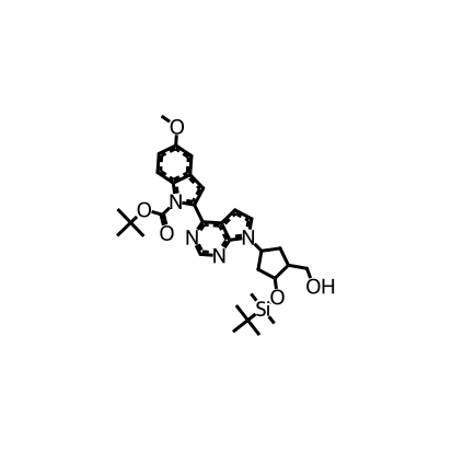 COc1ccc2c(c1)cc(-c1ncnc3c1ccn3C1CC(CO)C(O[Si](C)(C)C(C)(C)C)C1)n2C(=O)OC(C)(C)C